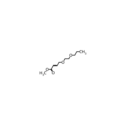 CCCOCCOC/C=C/C(=O)OC